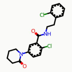 O=C(NCCc1ccccc1Cl)c1cc(N2CCCCC2=O)ccc1Cl